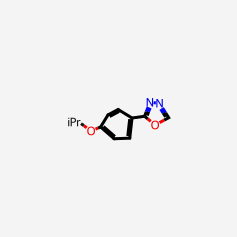 CC(C)Oc1ccc(-c2nnco2)cc1